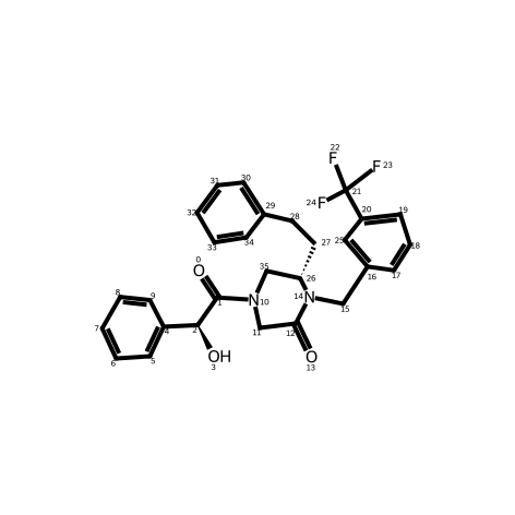 O=C([C@@H](O)c1ccccc1)N1CC(=O)N(Cc2cccc(C(F)(F)F)c2)[C@@H](CCc2ccccc2)C1